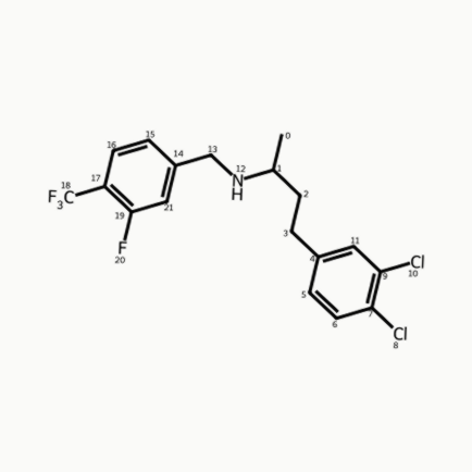 CC(CCc1ccc(Cl)c(Cl)c1)NCc1ccc(C(F)(F)F)c(F)c1